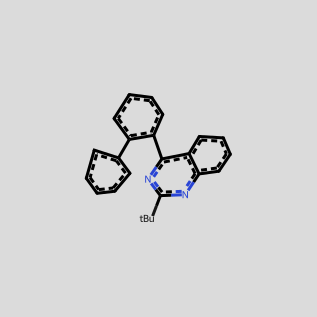 CC(C)(C)c1nc(-c2ccccc2-c2ccccc2)c2ccccc2n1